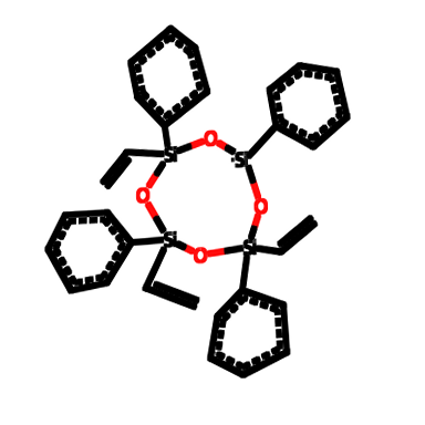 C=C[Si]1(c2ccccc2)O[Si](c2ccccc2)O[Si](C=C)(c2ccccc2)O[Si](C=C)(c2ccccc2)O1